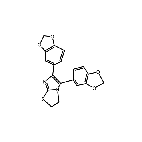 c1cc2c(cc1-c1nc3n(c1-c1ccc4c(c1)OCO4)CCS3)OCO2